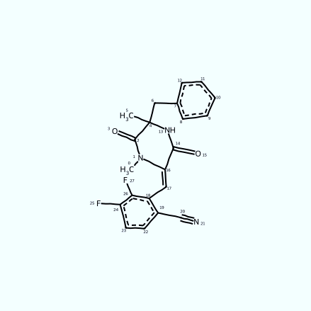 CN1C(=O)C(C)(Cc2ccccc2)NC(=O)C1=Cc1c(C#N)ccc(F)c1F